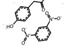 O=C(O)Cc1ccc(O)cc1.O=[N+]([O-])c1cccc([N+](=O)[O-])c1